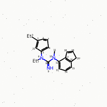 CCc1cccc(N(CC)C(=N)N(C)c2cccc3c2C=CC3)c1